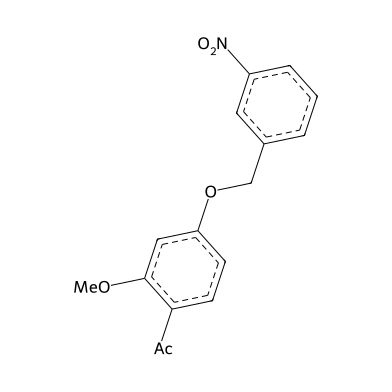 COc1cc(OCc2cccc([N+](=O)[O-])c2)ccc1C(C)=O